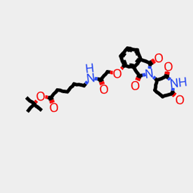 CC(C)(C)OC(=O)CCCCNC(=O)COc1cccc2c1C(=O)N(C1CCC(=O)NC1=O)C2=O